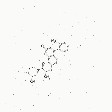 Cc1ccccc1-c1cc(=O)oc2cc(OC(C)C(=O)N3CCCC(C#N)C3)ccc12